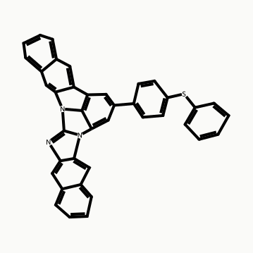 c1ccc(Sc2ccc(-c3cc4c5cc6ccccc6cc5n5c4c(c3)n3c4cc6ccccc6cc4nc35)cc2)cc1